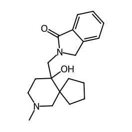 CN1CCC(O)(CN2Cc3ccccc3C2=O)C2(CCCC2)C1